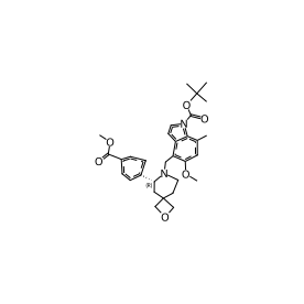 COC(=O)c1ccc([C@H]2CC3(CCN2Cc2c(OC)cc(C)c4c2ccn4C(=O)OC(C)(C)C)COC3)cc1